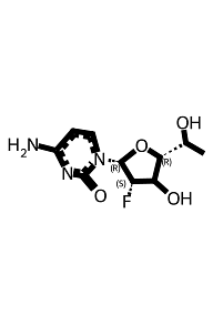 CC(O)[C@H]1O[C@@H](n2ccc(N)nc2=O)[C@@H](F)C1O